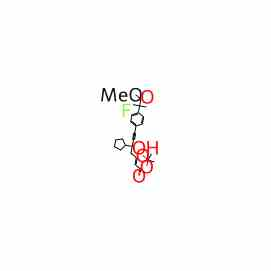 COC(=O)C(C)(C)c1ccc(C#CC(O)(CC2=CC(=O)OC(C)(C)O2)C2CCCC2)cc1F